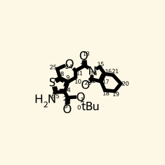 CC(C)(C)OC(=O)c1c(N)sc2c1CC(C(=O)N1CC3=C(CCCC3)C1=O)OC2